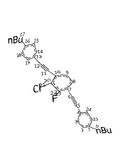 CCCCc1ccc(C#Cc2ccc(C#Cc3ccc(CCCC)cc3)c(Cl)c2F)cc1